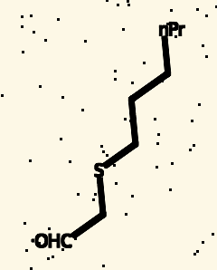 CCCCCCSC[C]=O